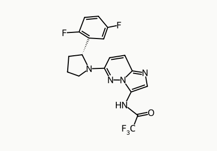 O=C(Nc1cnc2ccc(N3CCC[C@@H]3c3cc(F)ccc3F)nn12)C(F)(F)F